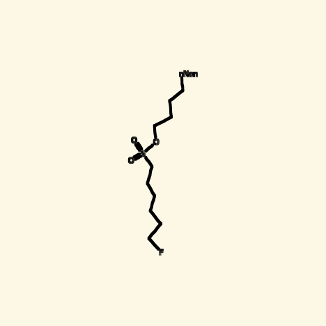 CCCCCCCCCCCCCOS(=O)(=O)CCCCCCF